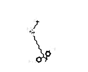 CC1(c2ccc(O)cc2)COc2cc(O)ccc2C1CCCCCCCCCNS(=O)(=O)NCCCC(F)(F)C(F)(F)F